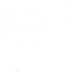 CC(C)N(C(C)C)P(OCCC#N)OCC1CC2C=CC1C2